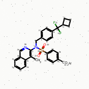 Cc1c(N(Cc2ccc(C(F)(F)C3CCC3)cc2)S(=O)(=O)c2ccc(C(=O)O)cc2)ncc2ccccc12